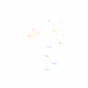 CS(=O)(=O)[O-].Nc1ccc(CNCCC[P+](c2ccccc2)(c2ccccc2)c2ccccc2)cc1N